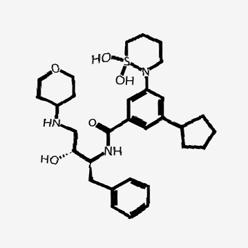 O=C(N[C@@H](Cc1ccccc1)[C@H](O)CNC1CCOCC1)c1cc(C2CCCC2)cc(N2CCCCS2(O)O)c1